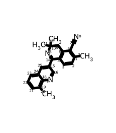 Cc1ccc2c(c1C#N)CC(C)(C)N=C2c1cnc2c(C)cccc2c1